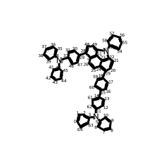 c1ccc(N(c2ccccc2)c2ccc(-c3ccc(-c4ccc5c6c4ccc4c(-c7ccc(N(c8ccccc8)c8ccccc8)cc7)ccc(c46)n5-c4ccccc4)cc3)cc2)cc1